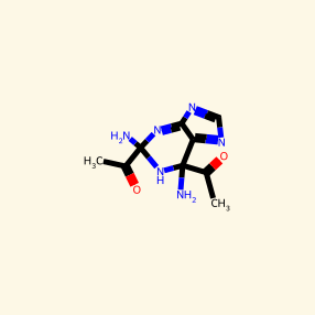 CC(=O)C1(N)N=C2N=CN=C2C(N)(C(C)=O)N1